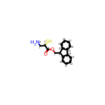 NCC(S)C(=O)OCC1c2ccccc2-c2ccccc21